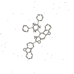 c1ccc(-c2nc(-c3ccccc3)nc(-c3c4nc(-c5ccc6oc7ccccc7c6c5)oc4cc4oc5ccccc5c34)n2)cc1